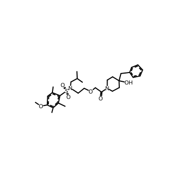 COc1cc(C)c(S(=O)(=O)N(CCOCC(=O)N2CCC(O)(Cc3ccccc3)CC2)CC(C)C)c(C)c1C